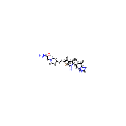 Cc1c(CCC2CCN(CC(N)=O)CC2)sc2[nH]c(-c3cc(C)c4ncnn4c3)c(C(C)C)c12